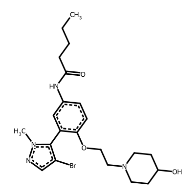 CCCCC(=O)Nc1ccc(OCCN2CCC(O)CC2)c(-c2c(Br)cnn2C)c1